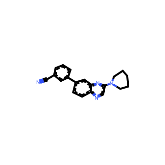 N#Cc1cccc(-c2ccc3ncc(N4CCCCC4)nc3c2)c1